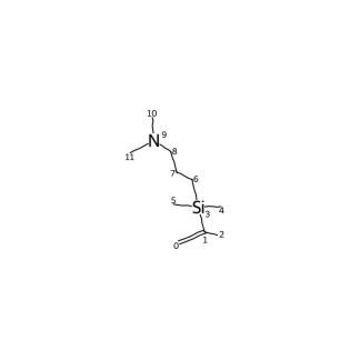 C=C(C)[Si](C)(C)CCCN(C)C